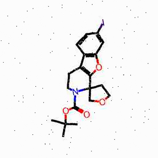 CC(C)(C)OC(=O)N1CCc2c(oc3cc(I)ccc23)C12CCOC2